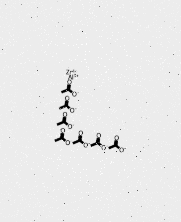 CC(=O)[O-].CC(=O)[O-].CC(=O)[O-].CC(=O)[O-].CC(=O)[O-].CC(=O)[O-].CC(=O)[O-].[Al+3].[Zr+4]